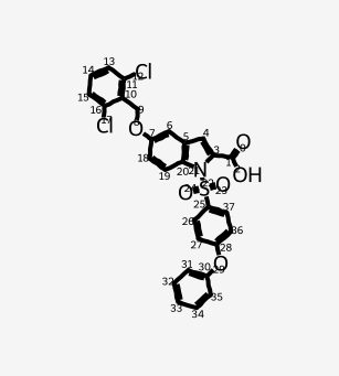 O=C(O)c1cc2cc(OCc3c(Cl)cccc3Cl)ccc2n1S(=O)(=O)c1ccc(Oc2ccccc2)cc1